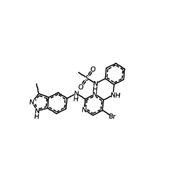 Cc1n[nH]c2ccc(Nc3ncc(Br)c(Nc4ccccc4NS(C)(=O)=O)n3)cc12